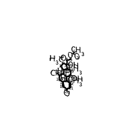 CC(=O)OCC(=O)[C@@]1(O)C(C)C[C@H]2[C@@H]3C(Cl)CC4=CC(=O)C=C[C@]4(C)[C@@]3(F)C(O)C[C@@]21C